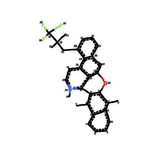 Cc1c2c(c(C)c3ccccc13)-c1c3c(cc4cccc(CC(C)(C)C(F)(F)F)c4c3cc[n+]1C)O2